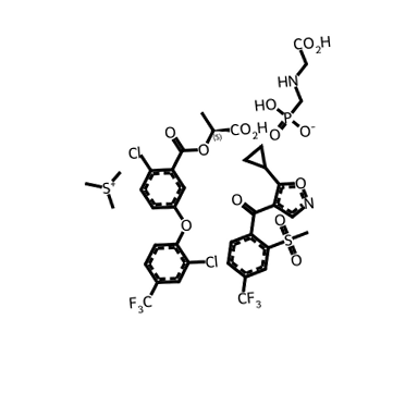 CS(=O)(=O)c1cc(C(F)(F)F)ccc1C(=O)c1cnoc1C1CC1.C[C@H](OC(=O)c1cc(Oc2ccc(C(F)(F)F)cc2Cl)ccc1Cl)C(=O)O.C[S+](C)C.O=C(O)CNCP(=O)([O-])O